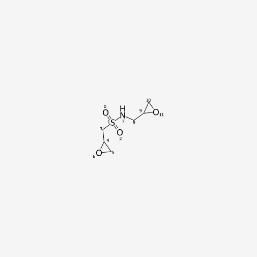 O=S(=O)(CC1CO1)NCC1CO1